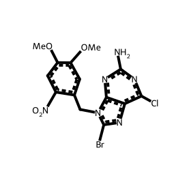 COc1cc(Cn2c(Br)nc3c(Cl)nc(N)nc32)c([N+](=O)[O-])cc1OC